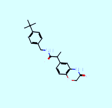 CC(C(=O)NCc1ccc(C(C)(C)C)cc1)c1ccc2c(c1)NC(=O)CO2